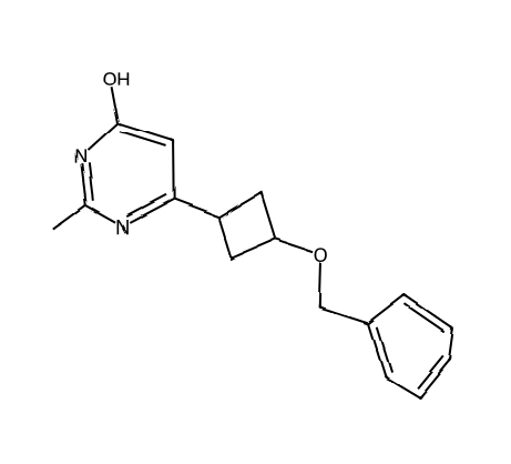 Cc1nc(O)cc(C2CC(OCc3ccccc3)C2)n1